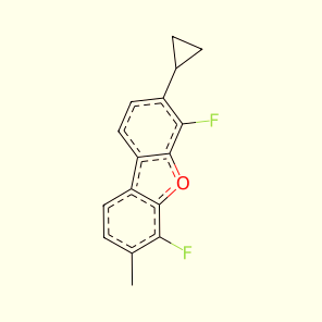 Cc1ccc2c(oc3c(F)c(C4CC4)ccc32)c1F